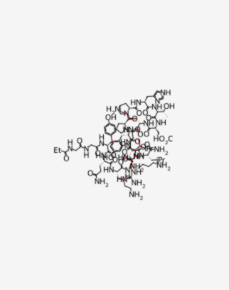 CCC(=O)NCC(=O)NCC(=O)N[C@@H](Cc1ccc(O)cc1)C(=O)N[C@@H](CCC(N)=O)C(=O)N[C@@H](CCCCN)C(=O)N[C@@H](CCCCN)C(=O)N[C@@H](CC(C)C)C(=O)N[C@@H](CCCNC(=N)N)C(=O)N1CCC[C@H]1C(=O)N1CCC[C@H]1C(=O)N[C@@H](Cc1c[nH]cn1)C(=O)N[C@H](C(=O)N[C@@H](CC(=O)O)C(=O)N[C@@H](CCCCN)C(=O)N[C@@H](Cc1ccc(O)cc1)C(=O)N[C@@H](CCCNC(=N)N)C(=O)N[C@@H](CC(C)C)C(N)=O)[C@@H](C)O